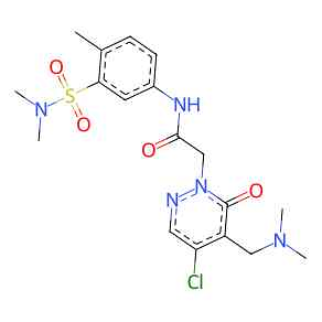 Cc1ccc(NC(=O)Cn2ncc(Cl)c(CN(C)C)c2=O)cc1S(=O)(=O)N(C)C